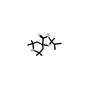 CC(C)C1(C)NC(=O)C2(CC(C)(C)NC(C)(C)C2)O1